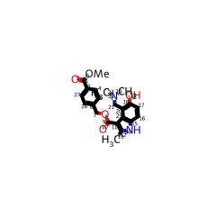 COC(=O)c1ccc(COC(=O)c2c(C)[nH]c3ccc(O)c(CN(C)C)c23)cc1